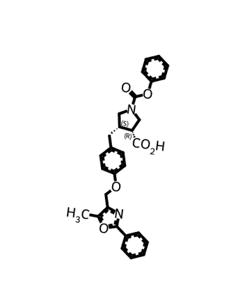 Cc1oc(-c2ccccc2)nc1COc1ccc(C[C@@H]2CN(C(=O)Oc3ccccc3)C[C@@H]2C(=O)O)cc1